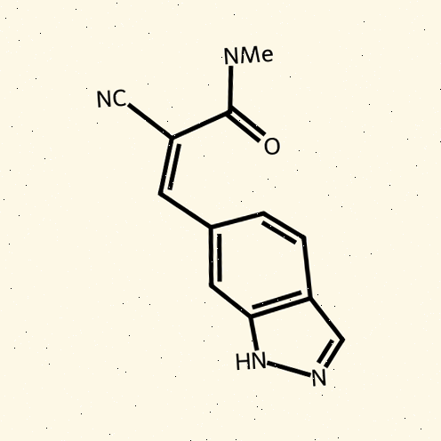 CNC(=O)/C(C#N)=C\c1ccc2cn[nH]c2c1